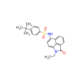 CCN1C(=O)c2cccc3c(NS(=O)(=O)c4ccc(C(C)(C)C)cc4)ccc1c23